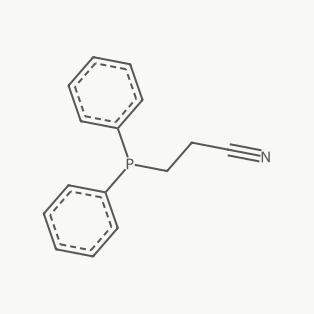 N#CCCP(c1ccccc1)c1ccccc1